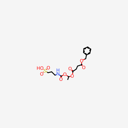 CC(OC(=O)CCC(=O)OCc1ccccc1)OC(=O)NCCCS(=O)(=O)O